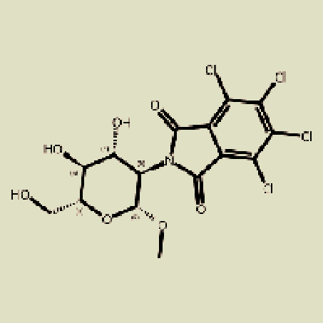 CO[C@@H]1O[C@H](CO)[C@@H](O)[C@H](O)[C@H]1N1C(=O)c2c(Cl)c(Cl)c(Cl)c(Cl)c2C1=O